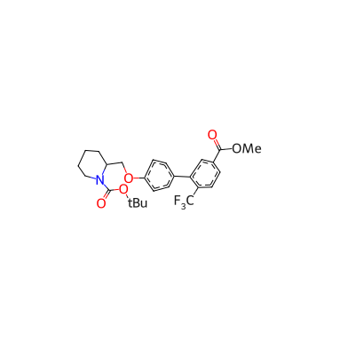 COC(=O)c1ccc(C(F)(F)F)c(-c2ccc(OCC3CCCCN3C(=O)OC(C)(C)C)cc2)c1